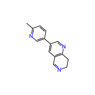 Cc1ccc(-c2cnc3c(c2)C=NCC3)cn1